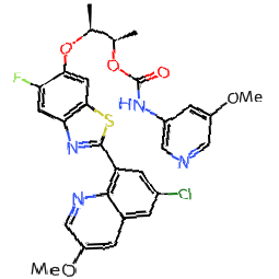 COc1cncc(NC(=O)O[C@H](C)[C@H](C)Oc2cc3sc(-c4cc(Cl)cc5cc(OC)cnc45)nc3cc2F)c1